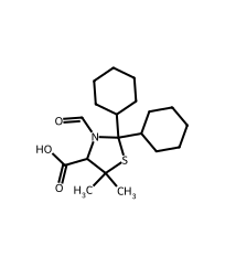 CC1(C)SC(C2CCCCC2)(C2CCCCC2)N(C=O)C1C(=O)O